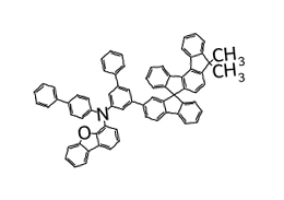 CC1(C)c2ccccc2-c2c1ccc1c2-c2ccccc2C12c1ccccc1-c1ccc(-c3cc(-c4ccccc4)cc(N(c4ccc(-c5ccccc5)cc4)c4cccc5c4oc4ccccc45)c3)cc12